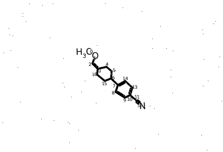 COC=C1CCC(c2ccc(C#N)cc2)CC1